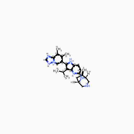 C=C1C[C@H]2CNC[C@@H]1N2c1ccc2[nH]c(-c3cn4ncnc4c(C)c3C)c(C(C)C)c2n1